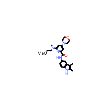 COCCN(C)c1cc(N2CCOCC2)cc(C(=O)Nc2ccc3[nH]c(C)c(C)c3c2)n1